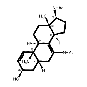 CC(=O)NC1=C2[C@H](CC[C@]3(C)[C@@H](NC(C)=O)CC[C@@H]23)[C@@]2(C)C=C[C@H](O)C[C@H]2C1